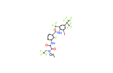 CN(CC(F)(F)F)C(=O)C(=O)Nc1cccc(C(=O)Nc2c(I)cc(C(F)(C(F)(F)F)C(F)(F)F)cc2C(F)(F)F)c1F